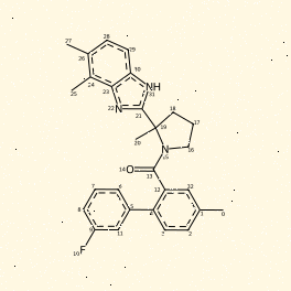 Cc1ccc(-c2cccc(F)c2)c(C(=O)N2CCCC2(C)c2nc3c(C)c(C)ccc3[nH]2)c1